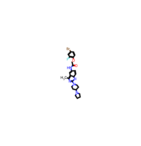 Cc1nc(N2CCC(N3CCCC3)CC2)nc2ccc(NC(=O)COc3ccc(Br)cc3F)cc12